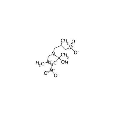 CC(CN(CC(C)C[N+](=O)[O-])C(C)(C)O)C[N+](=O)[O-]